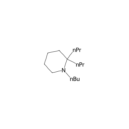 CCCCN1CCCCC1(CCC)CCC